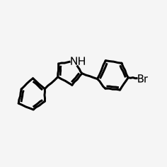 Brc1ccc(-c2cc(-c3ccccc3)c[nH]2)cc1